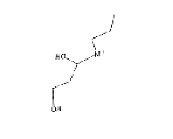 CCCNC(O)CCO